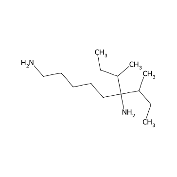 CCC(C)C(N)(CCCCCN)C(C)CC